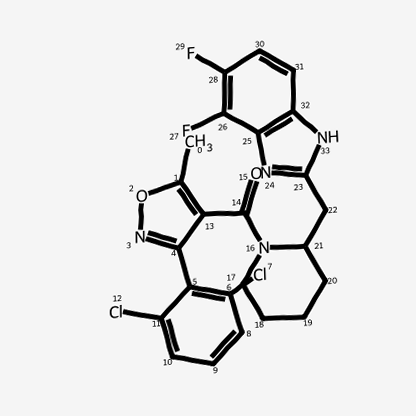 Cc1onc(-c2c(Cl)cccc2Cl)c1C(=O)N1CCCCC1Cc1nc2c(F)c(F)ccc2[nH]1